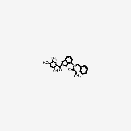 C=CC(=O)N(Cc1ccccc1)c1cccc2c1CN(C(=O)c1cc(C)c(O)cc1O)C2